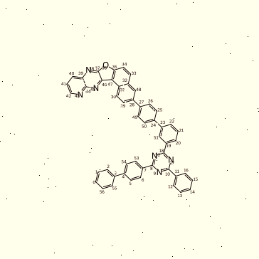 c1ccc(-c2ccc(-c3nc(-c4ccccc4)nc(-c4cccc(-c5ccc(-c6ccc7c(ccc8oc9nc%10cccnc%10nc9c87)c6)cc5)c4)n3)cc2)cc1